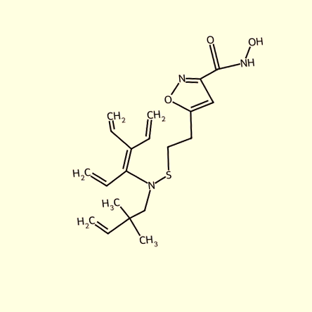 C=CC(C=C)=C(C=C)N(CC(C)(C)C=C)SCCc1cc(C(=O)NO)no1